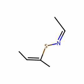 C/C=N\S/C(C)=C\C